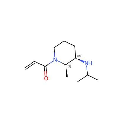 C=CC(=O)N1CCC[C@@H](NC(C)C)[C@H]1C